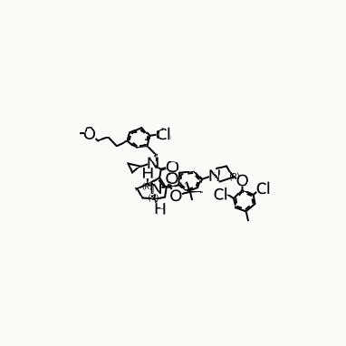 COCCCc1ccc(Cl)c(CN(C(=O)C2=C(c3ccc(N4CC[C@@H](Oc5c(Cl)cc(C)cc5Cl)C4)cc3)C[C@@H]3CC[C@H]2N3C(=O)OC(C)(C)C)C2CC2)c1